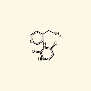 NCc1ccncc1.O=c1cc[nH]c(=O)[nH]1